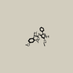 CCOc1cc(=NC(=O)Nc2ccc(OC)cc2OC)c(-c2ccccc2)n[nH]1